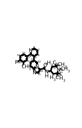 Cc1cc(-c2ncccc2-c2ccc3ncc(C(=O)NC4CC(C)(C)N(C)C(C)(C)C4)n3c2)ccc1F